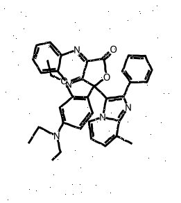 CCOc1cc(N(CC)CC)ccc1C1(c2c(-c3ccccc3)nc3c(C)cccn23)OC(=O)c2nc3ccccc3nc21